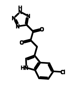 O=C(Cc1c[nH]c2ccc(Cl)cc12)C(=O)c1nn[nH]n1